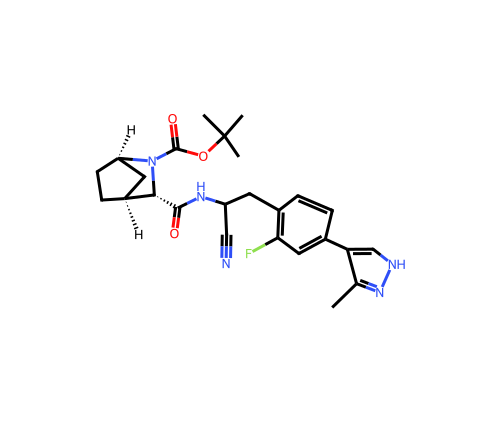 Cc1n[nH]cc1-c1ccc(CC(C#N)NC(=O)[C@@H]2[C@H]3CC[C@H](C3)N2C(=O)OC(C)(C)C)c(F)c1